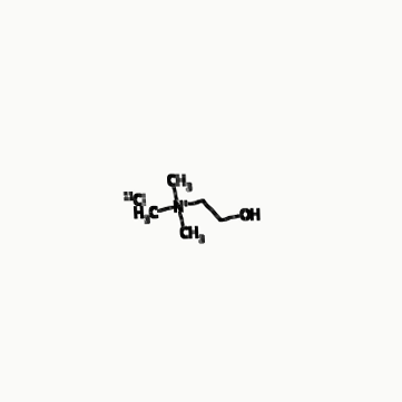 C[N+](C)(C)CCO.[11C]